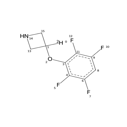 [2H]C1(Oc2c(F)c(F)cc(F)c2F)CNC1